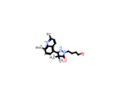 CCc1ccc2c(C3NN(CCCCBr)C(=O)C3(C)C)ccc(OC)c2n1